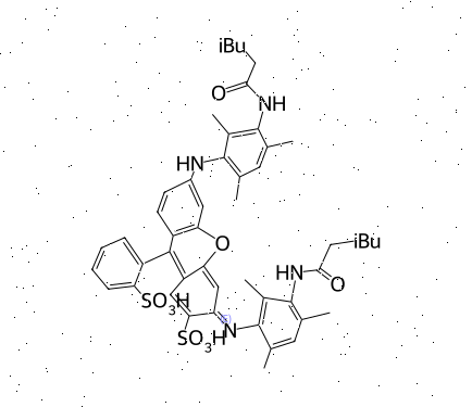 CCC(C)CC(=O)Nc1c(C)cc(C)c(/N=c2\cc3oc4cc(Nc5c(C)cc(C)c(NC(=O)CC(C)CC)c5C)ccc4c(-c4ccccc4S(=O)(=O)O)c-3cc2S(=O)(=O)O)c1C